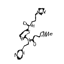 COCCC(=O)N(CCc1cnccn1)c1ncc(C(=O)NCCCn2ccnc2)s1